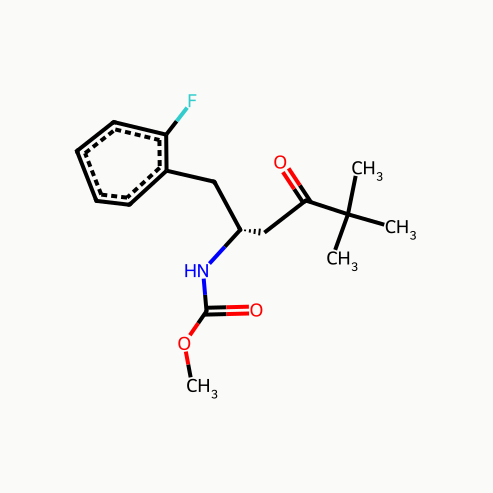 COC(=O)N[C@@H](CC(=O)C(C)(C)C)Cc1ccccc1F